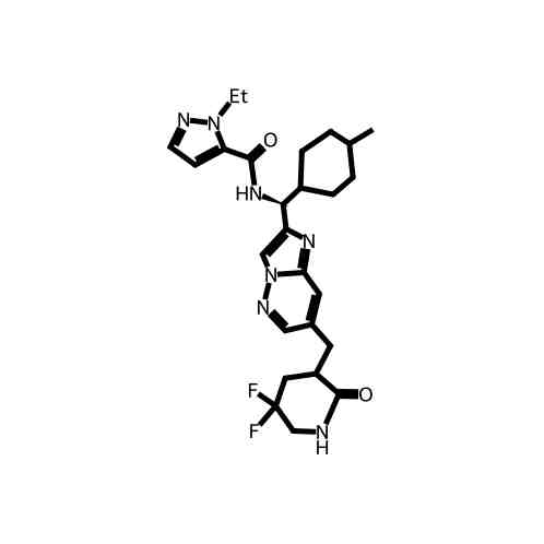 CCn1nccc1C(=O)N[C@H](c1cn2ncc(CC3CC(F)(F)CNC3=O)cc2n1)C1CCC(C)CC1